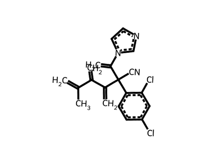 C=C(C)C(=C)C(=C)C(C#N)(C(=C)n1ccnc1)c1ccc(Cl)cc1Cl